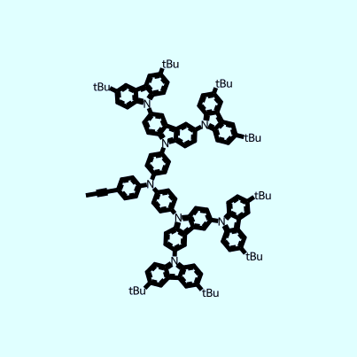 CC#Cc1ccc(N(c2ccc(-n3c4ccc(-n5c6ccc(C(C)(C)C)cc6c6cc(C(C)(C)C)ccc65)cc4c4cc(-n5c6ccc(C(C)(C)C)cc6c6cc(C(C)(C)C)ccc65)ccc43)cc2)c2ccc(-n3c4ccc(-n5c6ccc(C(C)(C)C)cc6c6cc(C(C)(C)C)ccc65)cc4c4cc(-n5c6ccc(C(C)(C)C)cc6c6cc(C(C)(C)C)ccc65)ccc43)cc2)cc1